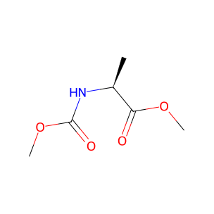 COC(=O)N[C@@H](C)C(=O)OC